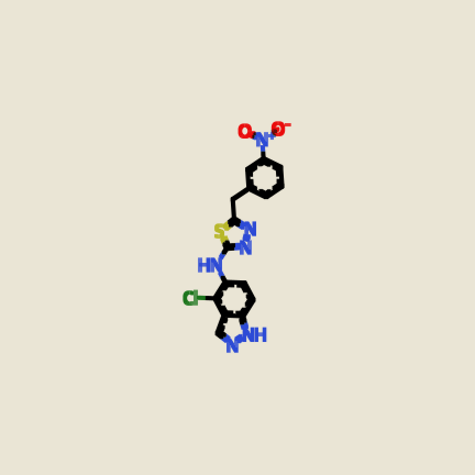 O=[N+]([O-])c1cccc(Cc2nnc(Nc3ccc4[nH]ncc4c3Cl)s2)c1